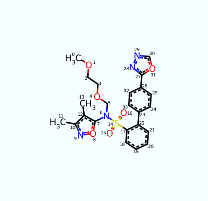 COCCOCN(c1onc(C)c1C)S(=O)(=O)c1ccccc1-c1ccc(-c2nnco2)cc1